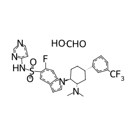 CN(C)[C@H]1C[C@@H](c2cccc(C(F)(F)F)c2)CC[C@@H]1n1ccc2cc(S(=O)(=O)Nc3ccncn3)c(F)cc21.O=CO